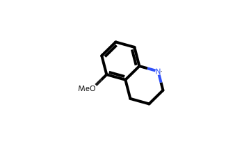 COc1cccc2c1CCC[N]2